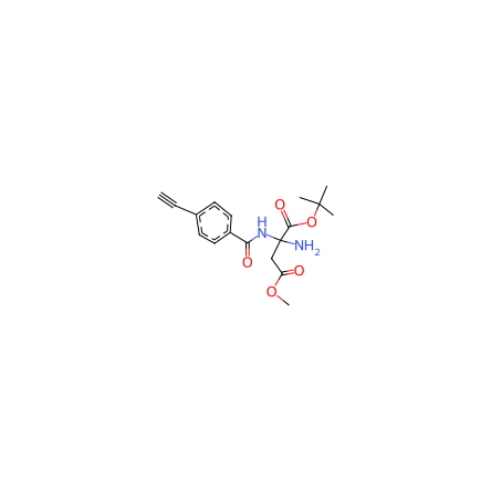 C#Cc1ccc(C(=O)NC(N)(CC(=O)OC)C(=O)OC(C)(C)C)cc1